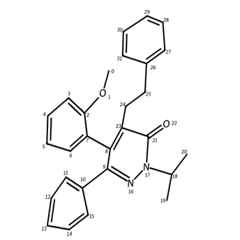 COc1ccccc1-c1c(-c2ccccc2)nn(C(C)C)c(=O)c1CCc1ccccc1